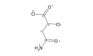 NC(=O)CC(Cl)C(=O)Cl